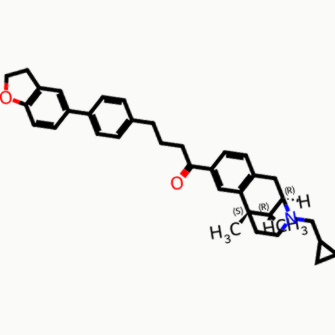 C[C@H]1[C@H]2Cc3ccc(C(=O)CCCc4ccc(-c5ccc6c(c5)CCO6)cc4)cc3[C@@]1(C)CCN2CC1CC1